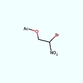 CC(=O)OCC(Br)[N+](=O)[O-]